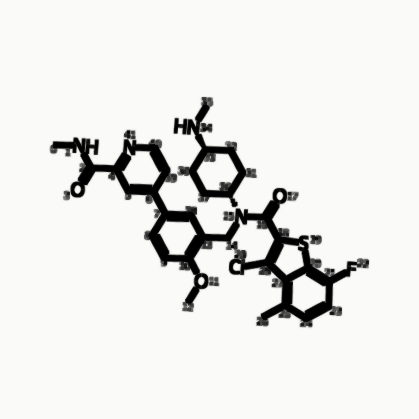 CNC(=O)c1cc(-c2ccc(OC)c(CN(C(=O)c3sc4c(F)ccc(C)c4c3Cl)[C@H]3CC[C@H](NC)CC3)c2)ccn1